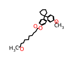 COc1ccc(C2(c3ccc(OC(=O)CCCCCCCCC(C)=O)cc3)CCCCC2)cc1